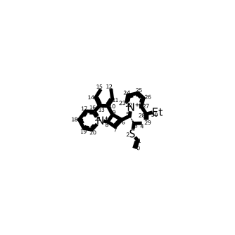 C=CSC(C)[C@H](C1=CC2C1C(=C/C)/C(=C\C)c1cccc[n+]12)[n+]1ccccc1C(=C)CC